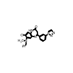 CC(C)CN(C)c1cc2c(cc1Cl)NC(=O)CC(c1cccc(-n3ccnn3)c1)=N2